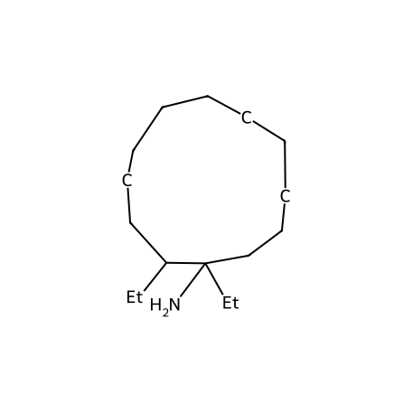 CCC1CCCCCCCCCCC1(N)CC